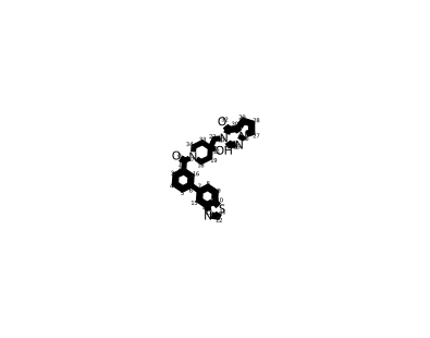 O=C(c1cccc(-c2ccc3scnc3c2)c1)N1CCC(O)(Cn2cnn3cccc3c2=O)CC1